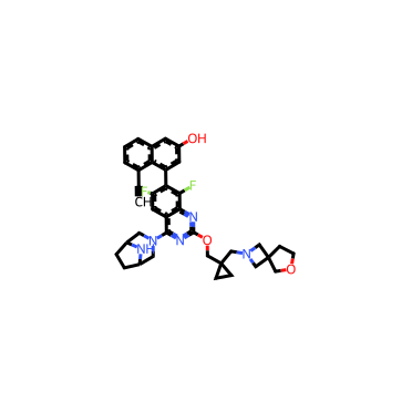 C#Cc1cccc2cc(O)cc(-c3c(F)cc4c(N5CC6CCC(C5)N6)nc(OCC5(CN6CC7(CCOC7)C6)CC5)nc4c3F)c12